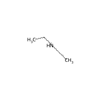 CCCCCCCC/C=C\CCCCCCC[CH]NCCCCCCCCCCCCCCCCCC